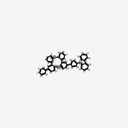 B1c2ccccc2-c2cc(-c3ccccc3)ccc2Bc2ccc(-c3ccc(-n4c5ccccc5c5ccccc54)cc3)cc2-c2ccccc21